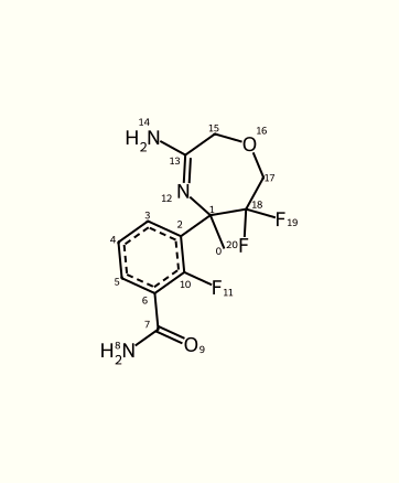 CC1(c2cccc(C(N)=O)c2F)N=C(N)COCC1(F)F